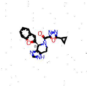 O=C(c1nnc(C2CC2)o1)N1CCc2[nH]cnc2[C@H]1c1cc2ccccc2o1